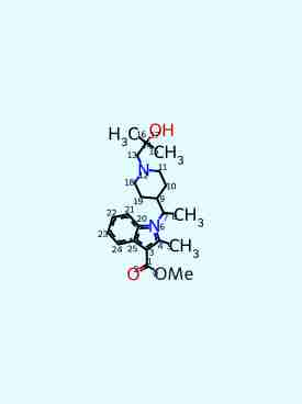 COC(=O)c1c(C)n(C(C)C2CCN(CC(C)(C)O)CC2)c2ccccc12